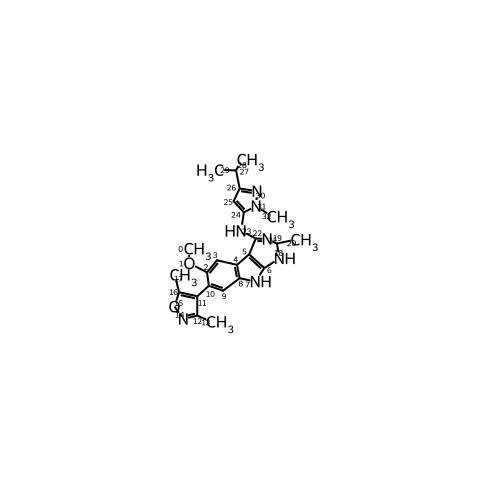 COc1cc2c3c([nH]c2cc1-c1c(C)noc1C)NC(C)N=C3Nc1cc(C(C)C)nn1C